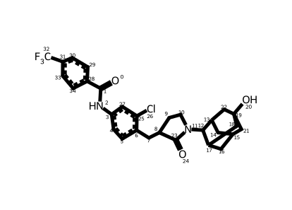 O=C(Nc1ccc(CC2CCN(C3C4CC5CC3CC(O)(C5)C4)C2=O)c(Cl)c1)c1ccc(C(F)(F)F)cc1